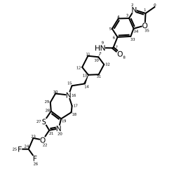 Cc1nc2ccc(C(=O)N[C@H]3CC[C@H](CCN4CCc5nc(OCC(F)F)sc5CC4)CC3)cc2o1